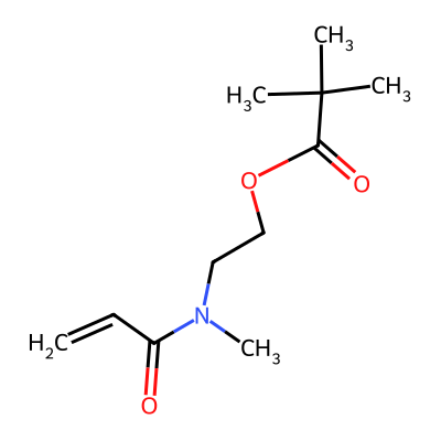 C=CC(=O)N(C)CCOC(=O)C(C)(C)C